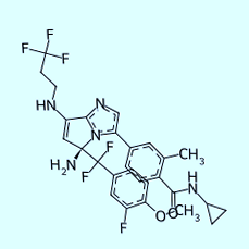 COc1ccc(C(F)(F)[C@]2(N)C=C(NCCC(F)(F)F)c3ncc(-c4ccc(C(=O)NC5CC5)c(C)c4)n32)cc1F